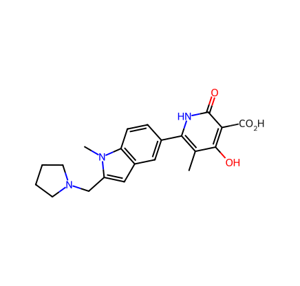 Cc1c(-c2ccc3c(c2)cc(CN2CCCC2)n3C)[nH]c(=O)c(C(=O)O)c1O